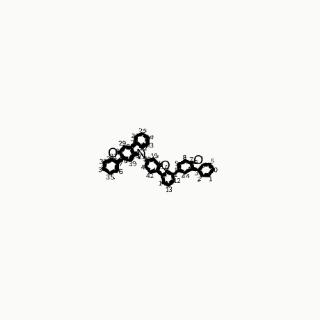 c1ccc2c(c1)oc1ccc(-c3cccc4c3oc3cc(-n5c6ccccc6c6cc7oc8ccccc8c7cc65)ccc34)cc12